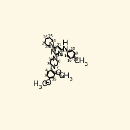 COc1ccc(N2CCN(c3nc(Nc4ccc(C)cc4)cc(N4CCCCC4)n3)CC2)c(OC)c1